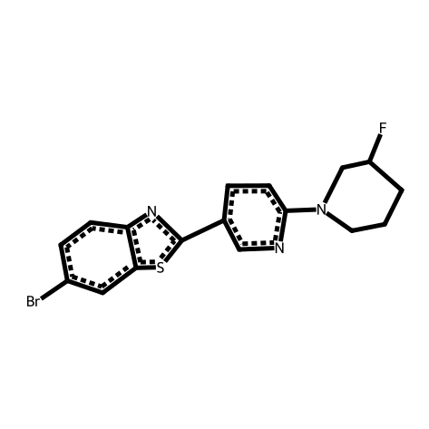 FC1CCCN(c2ccc(-c3nc4ccc(Br)cc4s3)cn2)C1